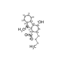 CCCCc1cc(O)c2c3ccccc3n(C)c2c1[N+](=O)[O-]